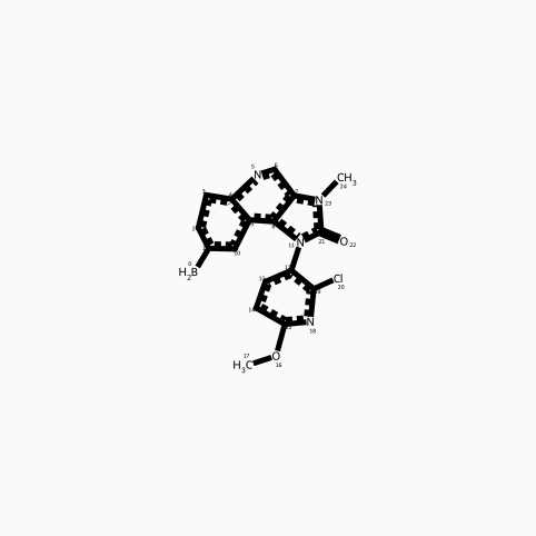 Bc1ccc2ncc3c(c2c1)n(-c1ccc(OC)nc1Cl)c(=O)n3C